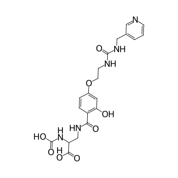 O=C(O)NC(CNC(=O)c1ccc(OCCNC(=O)NCc2cccnc2)cc1O)C(=O)O